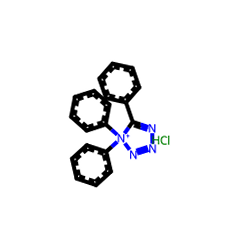 Cl.c1ccc(C2=NN=N[N+]2(c2ccccc2)c2ccccc2)cc1